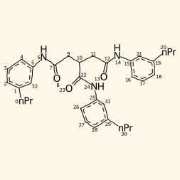 CCCc1cccc(NC(=O)CC(CC(=O)Nc2cccc(CCC)c2)C(=O)Nc2cccc(CCC)c2)c1